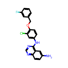 Nc1ccc2ncnc(Nc3ccc(OCc4cccc(F)c4)c(Cl)c3)c2c1